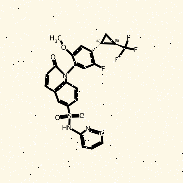 COc1cc([C@@H]2C[C@H]2C(F)(F)F)c(F)cc1-n1c(=O)ccc2cc(S(=O)(=O)Nc3cccnn3)ccc21